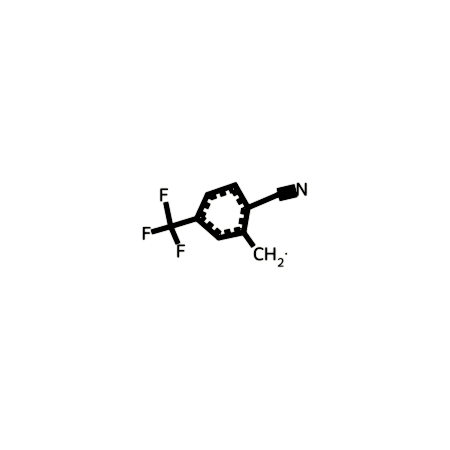 [CH2]c1cc(C(F)(F)F)ccc1C#N